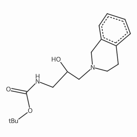 CC(C)(C)OC(=O)NCC(O)CN1CCc2ccccc2C1